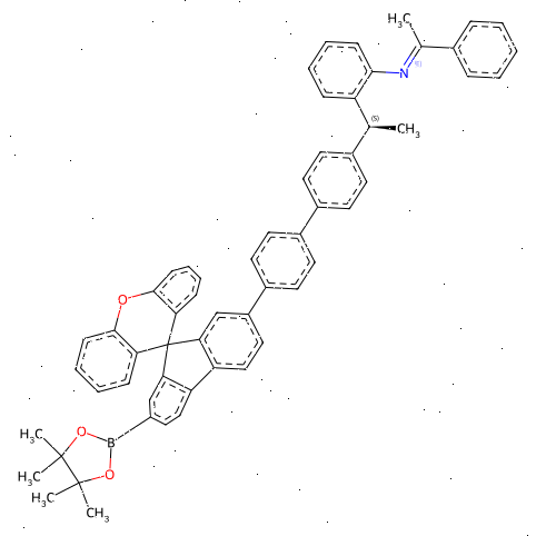 C/C(=N\c1ccccc1[C@@H](C)c1ccc(-c2ccc(-c3ccc4c(c3)C3(c5ccccc5Oc5ccccc53)c3cc(B5OC(C)(C)C(C)(C)O5)ccc3-4)cc2)cc1)c1ccccc1